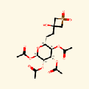 CC(=O)O[C@H]1O[C@H](CCC2(O)CS(=O)(=O)C2)[C@@H](OC(C)=O)[C@H](OC(C)=O)[C@@H]1OC(C)=O